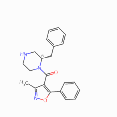 Cc1noc(-c2ccccc2)c1C(=O)N1CCNC[C@H]1Cc1ccccc1